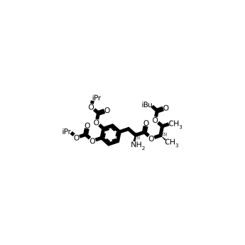 CCC(C)C(=O)OC(C)[C@H](C)OC(=O)[C@@H](N)Cc1ccc(OC(=O)OC(C)C)c(OC(=O)OC(C)C)c1